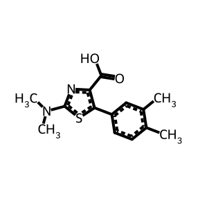 Cc1ccc(-c2sc(N(C)C)nc2C(=O)O)cc1C